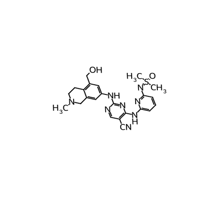 CN1CCc2c(CO)cc(Nc3ncc(C#N)c(Nc4cccc(N=S(C)(C)=O)n4)n3)cc2C1